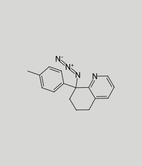 Cc1ccc(C2(N=[N+]=[N-])CCCc3cccnc32)cc1